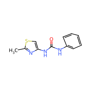 Cc1nc(NC(=O)Nc2ccccc2)cs1